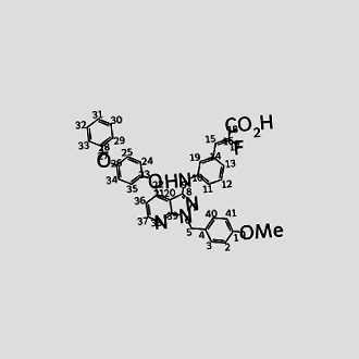 COc1ccc(Cn2nc(Nc3cccc(/C=C(\F)C(=O)O)c3)c3c(Oc4ccc(Oc5ccccc5)cc4)ccnc32)cc1